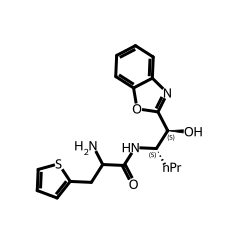 CCC[C@H](NC(=O)C(N)Cc1cccs1)[C@H](O)c1nc2ccccc2o1